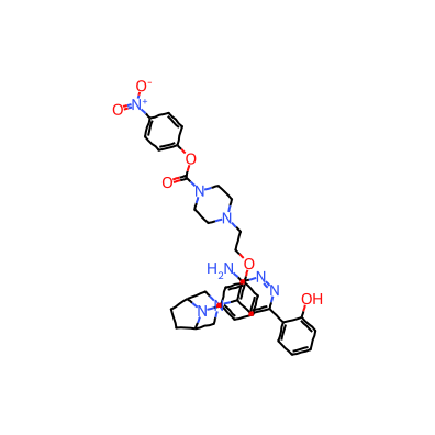 Nc1nnc(-c2ccccc2O)cc1N1CC2CCC(C1)N2c1cccc(OCCN2CCN(C(=O)Oc3ccc([N+](=O)[O-])cc3)CC2)c1